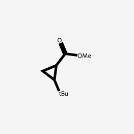 COC(=O)C1CC1C(C)(C)C